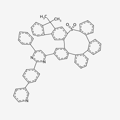 CC1(C)c2ccccc2-c2cc3c(cc21)S(=O)(=O)c1ccccc1-c1ccccc1-c1ccccc1-c1ccc(-c2cc(-c4ccccc4)nc(-c4ccc(-c5cccnc5)cc4)n2)cc1-3